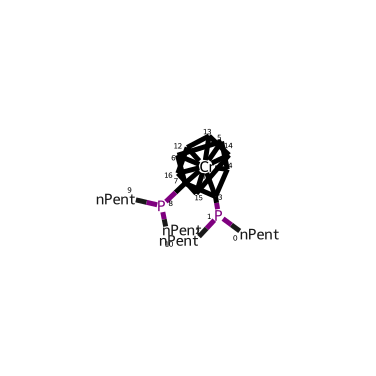 CCCCCP(CCCCC)[C]12[CH]3[CH]4[CH]5[C]1(P(CCCCC)CCCCC)[Cr]43521678[CH]2[CH]1[CH]6[CH]7[CH]28